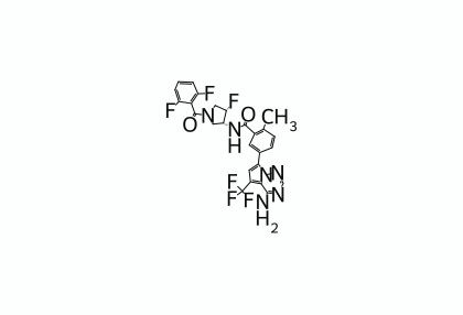 Cc1ccc(-c2cc(C(F)(F)F)c3c(N)ncnn23)cc1C(=O)N[C@@H]1CN(C(=O)c2c(F)cccc2F)C[C@@H]1F